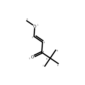 COC=CC(=O)C(C)(C)C